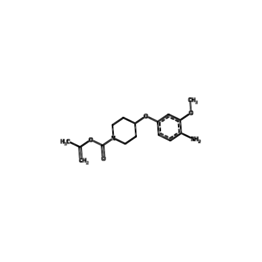 C=C(C)OC(=O)N1CCC(Oc2ccc(N)c(OC)c2)CC1